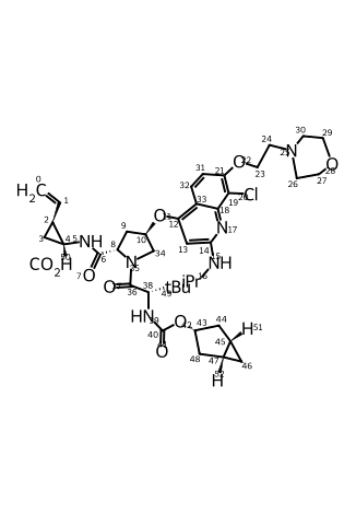 C=C[C@@H]1C[C@]1(NC(=O)[C@@H]1C[C@@H](Oc2cc(NC(C)C)nc3c(Cl)c(OCCN4CCOCC4)ccc23)CN1C(=O)[C@@H](NC(=O)O[C@@H]1C[C@@H]2C[C@@H]2C1)C(C)(C)C)C(=O)O